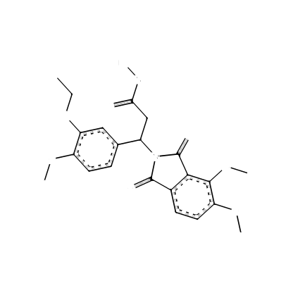 CCOc1cc(C(CC(=O)NO)N2C(=O)c3ccc(OC)c(OC)c3C2=O)ccc1OC